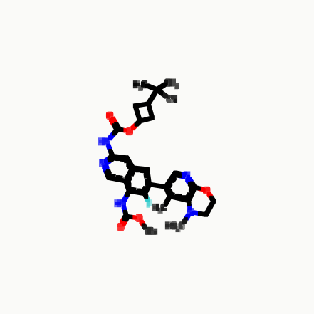 Cc1c(-c2cc3cc(NC(=O)OC4CC(C(C)(C)C#N)C4)ncc3c(NC(=O)OC(C)(C)C)c2F)cnc2c1N(C(=O)O)CCO2